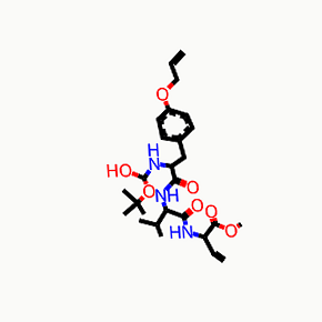 C=CCOc1ccc(CC(NC(O)OC(C)(C)C)C(=O)NC(C(=O)NC(C=C)C(=O)OC)C(C)C)cc1